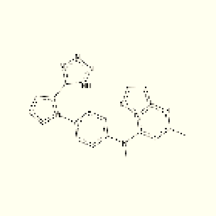 Cc1cc(N(C)c2ccc(-n3cccc3-c3nnn[nH]3)cc2)n2nccc2n1